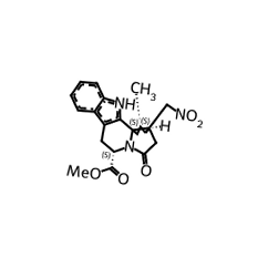 COC(=O)[C@@H]1Cc2c([nH]c3ccccc23)C23C[C@H](C)C(C[N+](=O)[O-])[C@@H]2CC(=O)N13